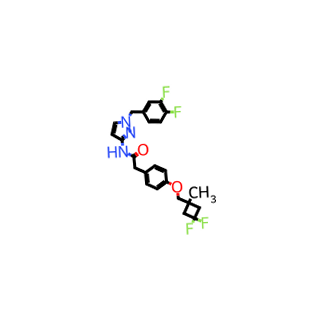 CC1(COc2ccc(CC(=O)Nc3ccn(Cc4ccc(F)c(F)c4)n3)cc2)CC(F)(F)C1